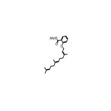 COC(=O)c1ccccc1OC/C=C(\C)CC/C=C(\C)CCC=C(C)C